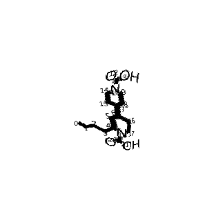 CCCCC1=CC(=C2C=CN(C(=O)O)C=C2)C=CN1C(=O)O